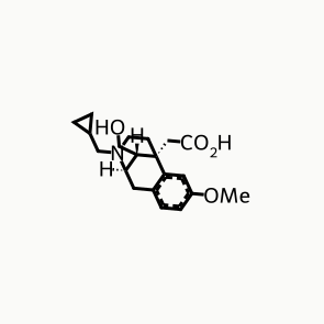 COc1ccc2c(c1)[C@]1(CC(=O)O)CCN(CC3CC3)[C@H](C2)[C@@H]1CO